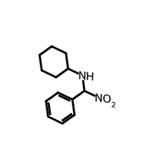 O=[N+]([O-])C(NC1CCCCC1)c1ccccc1